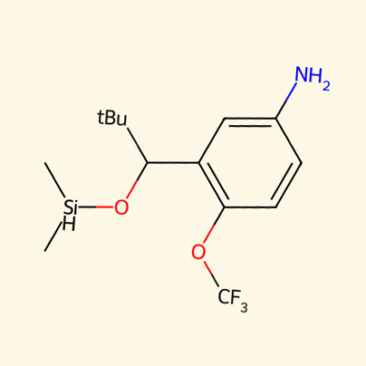 C[SiH](C)OC(c1cc(N)ccc1OC(F)(F)F)C(C)(C)C